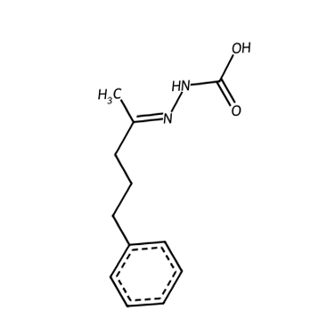 CC(CCCc1ccccc1)=NNC(=O)O